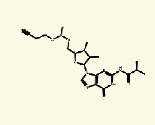 CC(C)C(=O)Nc1nc2c(ncn2C2OC(COP(C)OCCC#N)C(C)C2C)c(=O)[nH]1